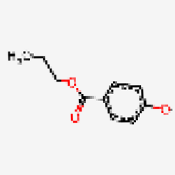 CCCOC(=O)c1ccc([O])cc1